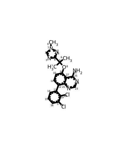 Cn1cnc(C(C)(C)Oc2ccc(-c3cccc(Cl)c3Cl)c3ncnc(N)c23)n1